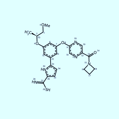 COC[C@H](C)Oc1cc(Oc2cnc(C(=O)N3CCC3)cn2)cc(-c2ccc(C(=N)S)[nH]2)c1